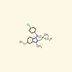 CCOc1ccc2c(c1)c(C)c(CC(C)(C)C(=O)O)n2Cc1ccc(Cl)cc1